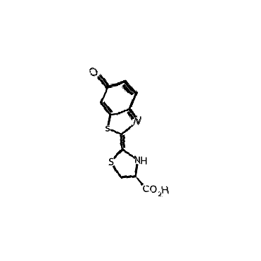 O=C1C=Cc2n/c(=C3\N[C@@H](C(=O)O)CS3)sc2=C1